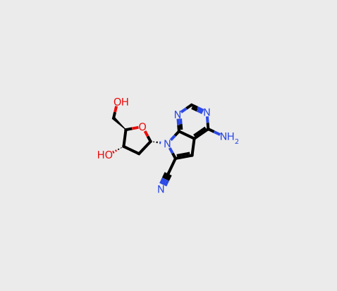 N#Cc1cc2c(N)ncnc2n1[C@@H]1C[C@H](O)[C@@H](CO)O1